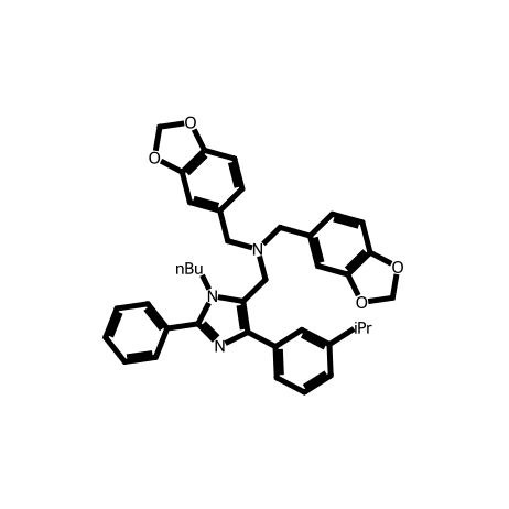 CCCCn1c(-c2ccccc2)nc(-c2cccc(C(C)C)c2)c1CN(Cc1ccc2c(c1)OCO2)Cc1ccc2c(c1)OCO2